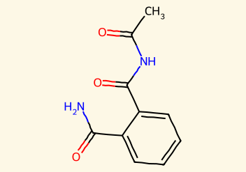 CC(=O)NC(=O)c1ccccc1C(N)=O